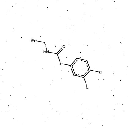 CC(C)CNC(=O)Sc1ccc(Cl)c(Cl)c1